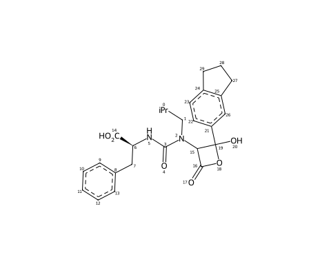 CC(C)CN(C(=O)N[C@@H](Cc1ccccc1)C(=O)O)C1C(=O)OC1(O)c1ccc2c(c1)CCC2